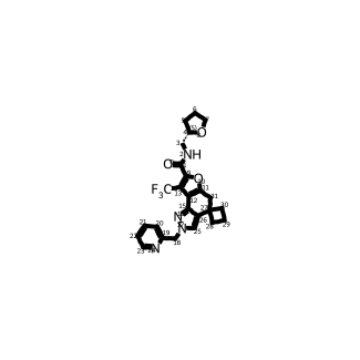 O=C(NC[C@@H]1CCCO1)c1oc2c(c1C(F)(F)F)-c1nn(Cc3ccccn3)cc1C1(CCC1)C2